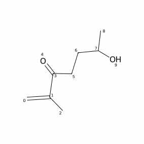 C=C(C)C(=O)CCC(C)O